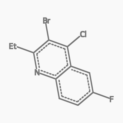 CCc1nc2ccc(F)cc2c(Cl)c1Br